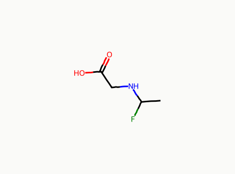 CC(F)NCC(=O)O